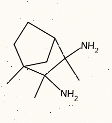 CC12CCC(C1)C(C)(N)C2(C)N